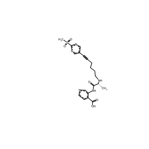 C[C@@H](NCCCCC#Cc1cnc(S(C)(=O)=O)nc1)C(=O)Nc1cnccc1C(=O)O